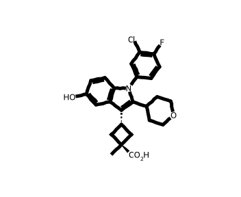 C[C@]1(C(=O)O)C[C@H](c2c(C3CCOCC3)n(-c3ccc(F)c(Cl)c3)c3ccc(O)cc32)C1